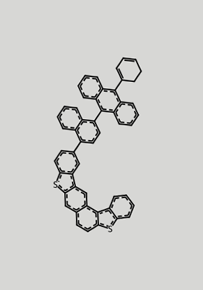 C1=CCCC(c2c3ccccc3c(-c3ccc(-c4ccc5sc6cc7ccc8sc9ccccc9c8c7cc6c5c4)c4ccccc34)c3ccccc23)=C1